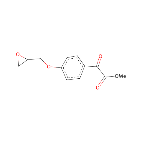 COC(=O)C(=O)c1ccc(OCC2CO2)cc1